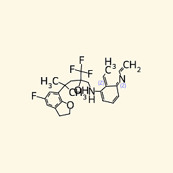 C=C/N=C1/C=CC=C(NCC(O)(CC(C)(C)c2cc(F)cc3c2OCC3)C(F)(F)F)/C1=C/C